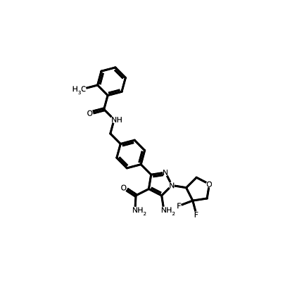 Cc1ccccc1C(=O)NCc1ccc(-c2nn(C3COCC3(F)F)c(N)c2C(N)=O)cc1